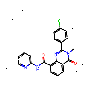 Cn1c(-c2ccc(Cl)cc2)nc2c(C(=O)Nc3ccccn3)cccc2c1=O